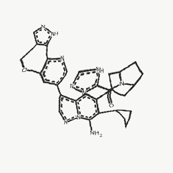 Nc1c(C2CC2)c(C2CC3CCC(C2)N3C(=O)c2nnc[nH]2)cc2c(-c3cnc4c(c3)OCc3cn[nH]c3-4)cnn12